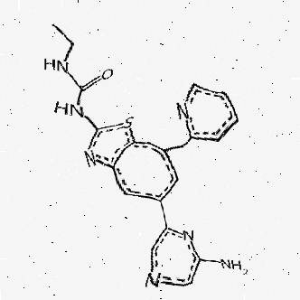 CCNC(=O)Nc1nc2cc(-c3cncc(N)n3)cc(-c3ccccn3)c2s1